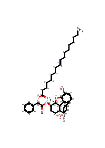 CCCCCCCC/C=C/CCCCCCCC(=O)O[C@H](C(=O)OC1=CC[C@]2(O)[C@H]3CCC[C@]24c2c(ccc(O)c2O[C@H]14)C3)c1ccccc1